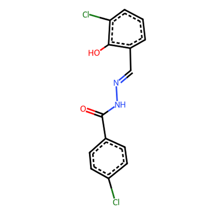 O=C(NN=Cc1cccc(Cl)c1O)c1ccc(Cl)cc1